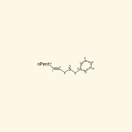 CCCCCC#CCSCc1ccccc1